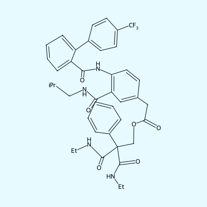 CCNC(=O)C(COC(=O)Cc1ccc(NC(=O)c2ccccc2-c2ccc(C(F)(F)F)cc2)c(C(=O)NCC(C)C)c1)(C(=O)NCC)c1ccccc1